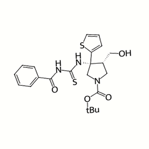 CC(C)(C)OC(=O)N1C[C@@H](CO)[C@](NC(=S)NC(=O)c2ccccc2)(c2cccs2)C1